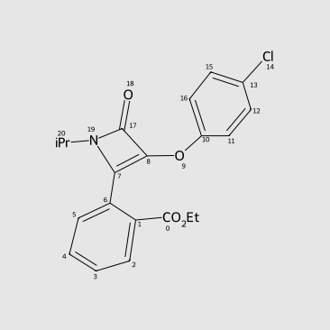 CCOC(=O)c1ccccc1C1=C(Oc2ccc(Cl)cc2)C(=O)N1C(C)C